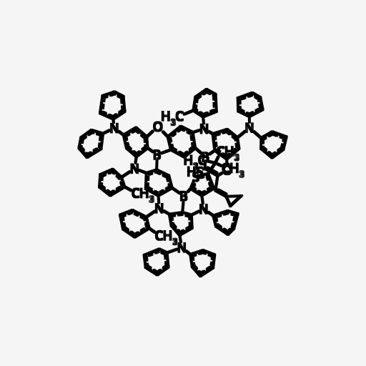 Cc1ccccc1N1c2cc3c(cc2B2C(S)=C(C=C4CC4)Oc4cc(N(c5ccccc5)c5ccccc5)cc1c42)B1c2cc4c(cc2N(c2ccccc2C)c2cc(N(c5ccccc5)c5ccccc5)cc(c21)O3)N(c1ccccc1C)c1cc(N(c2ccccc2)c2ccccc2)cc2c1B4c1sc(C(C)(C)C)cc1N2c1ccccc1